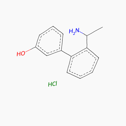 CC(N)c1ccccc1-c1cccc(O)c1.Cl